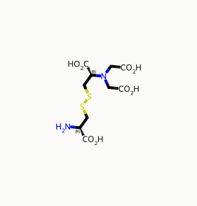 N[C@@H](CSSC[C@@H](C(=O)O)N(CC(=O)O)CC(=O)O)C(=O)O